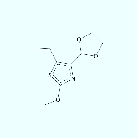 CCc1sc(OC)nc1C1OCCO1